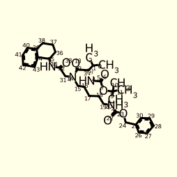 CC(C)[C@H](NC(=O)OC(C)(C)C)C(=O)N(CCCCCNC(=O)OCc1ccccc1)CC(=O)NC1CCCc2ccccc21